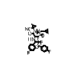 N#CC1(NC(=O)C(CS(=O)(=O)CC2CC2)N[C@H](c2ccc(F)cc2)C(F)(F)[S+]([O-])c2ccc(F)cc2)CC1